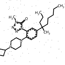 CCCCCC(C)(CCC)c1ccc(N2CCN(C3COC3)CC2)c(-n2nnn(C)c2=O)c1